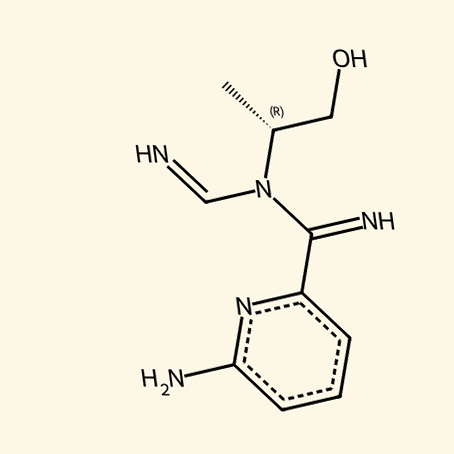 C[C@H](CO)N(C=N)C(=N)c1cccc(N)n1